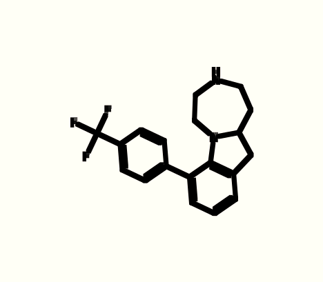 FC(F)(F)c1ccc(-c2cccc3c2N2CCNCCC2C3)cc1